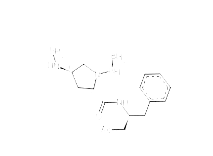 BBN1C[C@H](NB)C[C@H]1C(=O)N[C@H](CC(C)=O)Cc1ccccc1